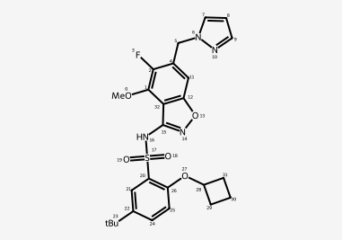 COc1c(F)c(Cn2cccn2)cc2onc(NS(=O)(=O)c3cc(C(C)(C)C)ccc3OC3CCC3)c12